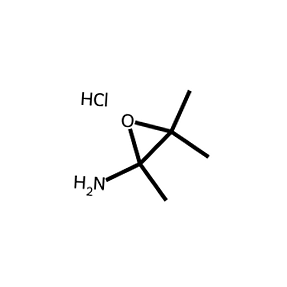 CC1(C)OC1(C)N.Cl